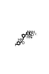 CNC(=O)c1nc(-c2cccc(CNC(=O)c3ccc(I)cc3)c2)cnc1N